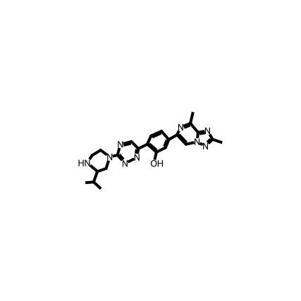 Cc1nc2c(C)nc(-c3ccc(-c4cnc(N5CCNC(C(C)C)C5)nn4)c(O)c3)cn2n1